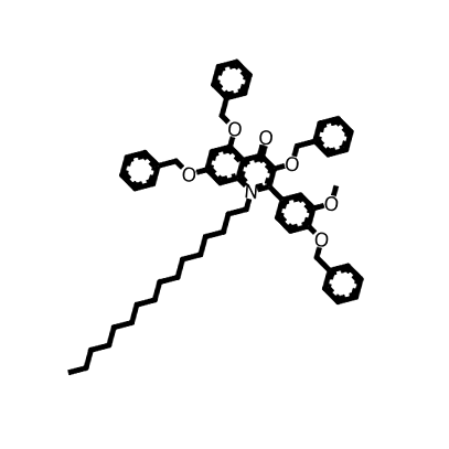 CCCCCCCCCCCCCCCCn1c(-c2ccc(OCc3ccccc3)c(OC)c2)c(OCc2ccccc2)c(=O)c2c(OCc3ccccc3)cc(OCc3ccccc3)cc21